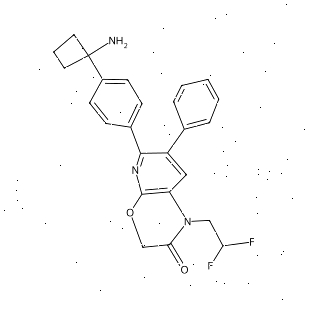 NC1(c2ccc(-c3nc4c(cc3-c3ccccc3)N(CC(F)F)C(=O)CO4)cc2)CCC1